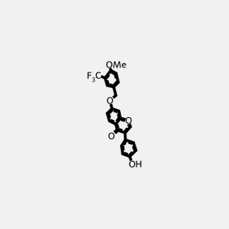 COc1ccc(COc2ccc3c(=O)c(-c4ccc(O)cc4)coc3c2)cc1C(F)(F)F